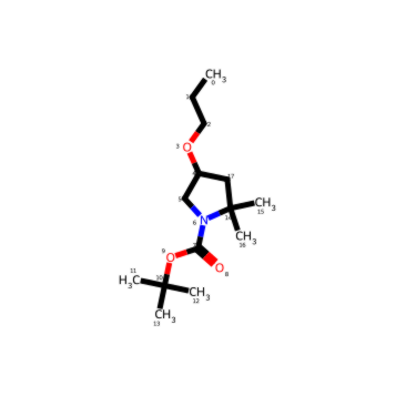 CCCOC1CN(C(=O)OC(C)(C)C)C(C)(C)C1